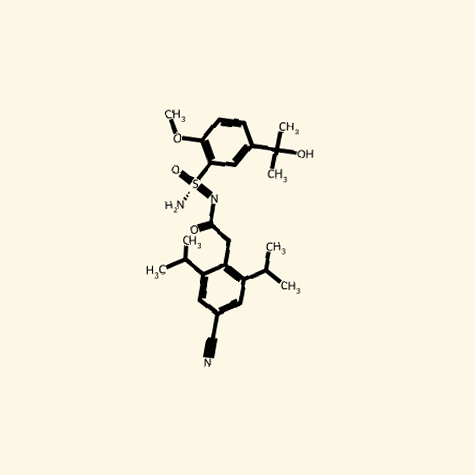 COc1ccc(C(C)(C)O)cc1[S@](N)(=O)=NC(=O)Cc1c(C(C)C)cc(C#N)cc1C(C)C